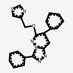 c1ccc(-c2cc3nnc(-c4ccccc4)n3nc2OCc2cscn2)cc1